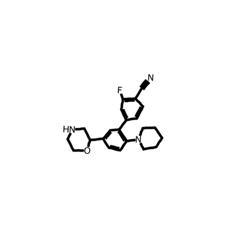 N#Cc1ccc(-c2cc(C3CNCCO3)ccc2N2CCCCC2)cc1F